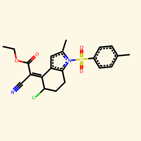 CCOC(=O)C(C#N)=C1c2cc(C)n(S(=O)(=O)c3ccc(C)cc3)c2CCC1Cl